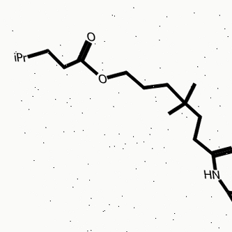 CC(C)CCC(=O)OCCCC(C)(C)CCC(=O)NC1CC1